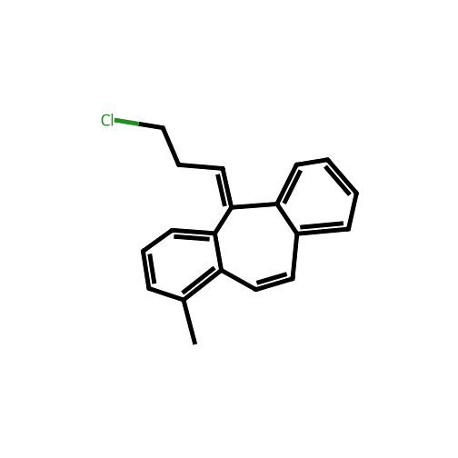 Cc1cccc2c1C=Cc1ccccc1/C2=C/CCCl